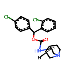 O=C(N[C@H]1CN2CCC1CC2)OC(c1ccc(Cl)cc1)c1ccccc1Cl